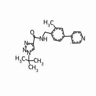 Cc1cc(-c2[c]cncc2)ccc1CNC(=O)c1cn(C(C)(C)C)nn1